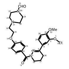 CCOc1cc(C2=NN(C(=O)c3ccc(OCCN4CCN(C=O)CC4)cc3)CCC2)ccc1OC